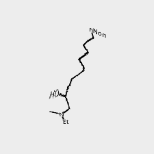 CCCCCCCCCCCCCCCCC(O)CN(C)CC